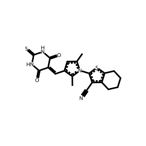 Cc1cc(C=C2C(=O)NC(=S)NC2=O)c(C)n1-c1sc2c(c1C#N)CCCC2